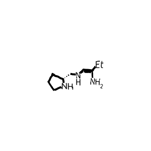 CC/C(N)=C/NC[C@H]1CCCN1